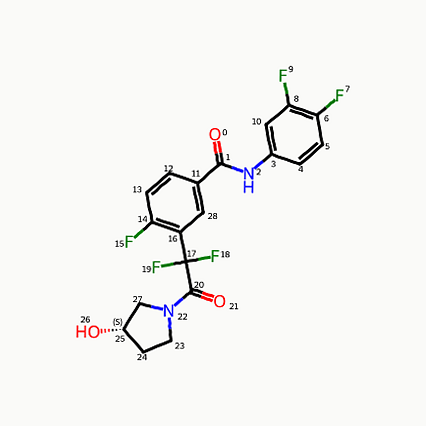 O=C(Nc1ccc(F)c(F)c1)c1ccc(F)c(C(F)(F)C(=O)N2CC[C@H](O)C2)c1